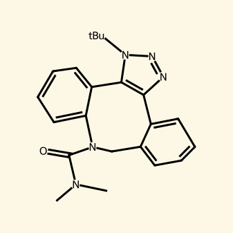 CN(C)C(=O)N1Cc2ccccc2-c2nnn(C(C)(C)C)c2-c2ccccc21